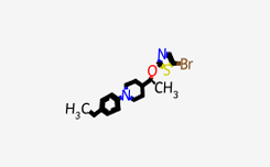 CCc1ccc(N2CCC([C@H](C)Oc3ncc(Br)s3)CC2)cc1